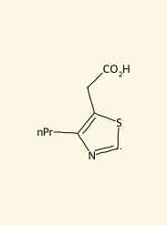 CCCc1n[c]sc1CC(=O)O